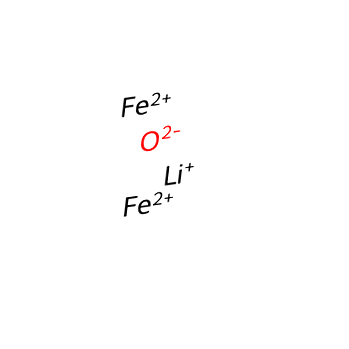 [Fe+2].[Fe+2].[Li+].[O-2]